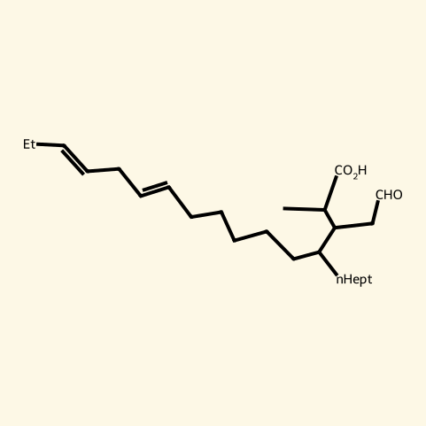 CCC=CCC=CCCCCCC(CCCCCCC)C(CC=O)C(C)C(=O)O